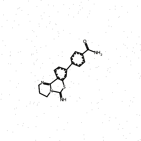 N=C1Sc2cc(-c3ccc(C(N)=O)cc3)ccc2C2=NCCCN12